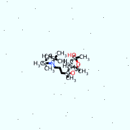 C[Si](C)(O)O[Si](C)(C)O[Si](C)(C)CCCN([Si](C)(C)C)[Si](C)(C)C